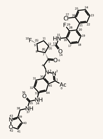 CC(=O)c1nn(CC(=O)[C@@H]2C[C@H](F)C[C@@H]2C(=O)Nc2cccc(-c3ccccc3Cl)c2F)c2ccc(NC(=O)NCc3ccon3)cc12